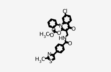 COC(=O)Oc1c(CNC(=O)c2ccc(-c3csc(C)n3)cc2)c(=O)c2ccc(Cl)cc2n1-c1ccccc1